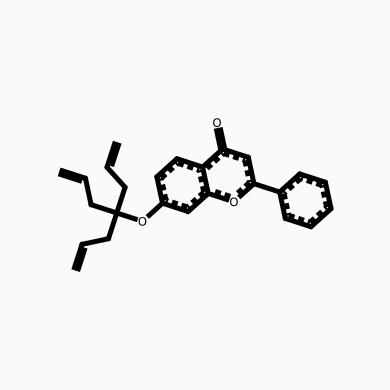 C=CCC(CC=C)(CC=C)Oc1ccc2c(=O)cc(-c3ccccc3)oc2c1